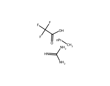 CCCC.N=C(N)N.O=C(O)C(F)(F)F